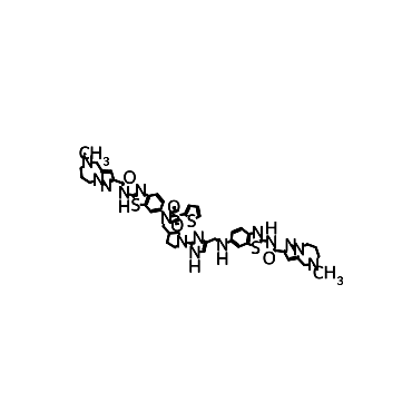 CN1CCCn2nc(C(=O)Nc3nc4ccc(NCc5c[nH]c(N6CCC(CN(c7ccc8nc(NC(=O)c9cc%10n(n9)CCCN(C)C%10)sc8c7)S(=O)(=O)c7cccs7)C6)n5)cc4s3)cc2C1